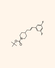 CC(C)(C)OC(=O)N1CCC(CC=Cc2cc(F)cc(F)c2)CC1